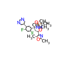 Cc1nc(C(=O)CC(C)(N[S+]([O-])C(C)(C)C)c2cc(-c3cncnc3)c(F)cc2F)c(C)o1